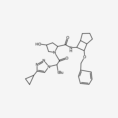 CC(C)(C)C(C(=O)N1CC(O)CC1C(=O)NC1C2CCCC2C1OCc1ccccc1)n1cc(C2CC2)nn1